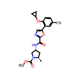 C[C@@H]1C[C@@H](NC(=O)c2ncc(-c3cc(C#N)ccc3OC3CC3)o2)CN1C(=O)OC(C)(C)C